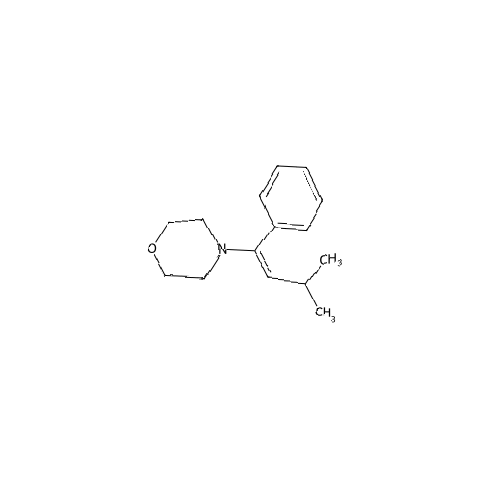 CC(C)/C=C(\c1ccccc1)N1CCOCC1